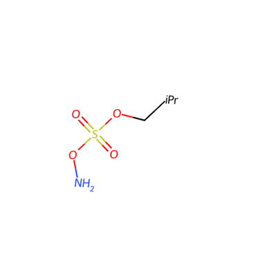 CC(C)COS(=O)(=O)ON